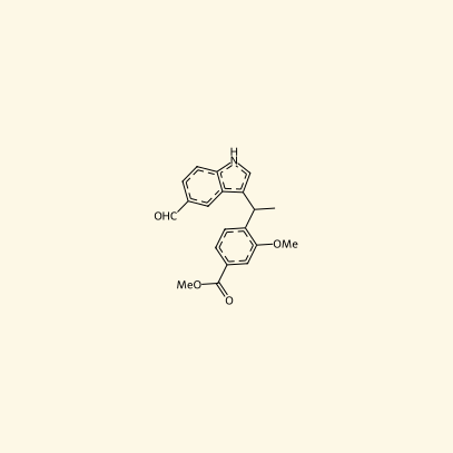 COC(=O)c1ccc(C(C)c2c[nH]c3ccc(C=O)cc23)c(OC)c1